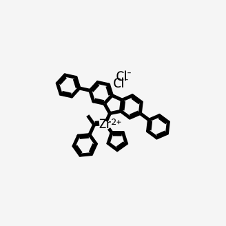 C/[C](c1ccccc1)=[Zr+2](/[C]1=CC=CC1)[CH]1c2cc(-c3ccccc3)ccc2-c2ccc(-c3ccccc3)cc21.[Cl-].[Cl-]